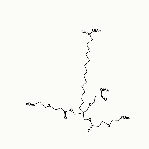 CCCCCCCCCCCCSCCC(=O)OCC(CCCCCCCCCCCSCCC(=O)OC)(COC(=O)CCSCCCCCCCCCCCC)CSCCC(=O)OC